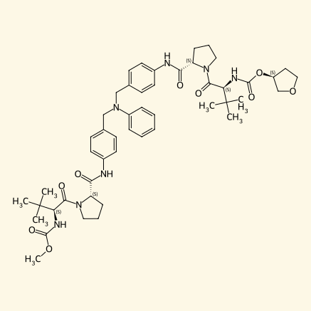 COC(=O)N[C@H](C(=O)N1CCC[C@H]1C(=O)Nc1ccc(CN(Cc2ccc(NC(=O)[C@@H]3CCCN3C(=O)[C@@H](NC(=O)O[C@H]3CCOC3)C(C)(C)C)cc2)c2ccccc2)cc1)C(C)(C)C